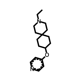 CCN1CCC2(CCC(Oc3ccncc3)CC2)CC1